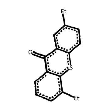 CCc1ccc2sc3c(CC)cccc3c(=O)c2c1